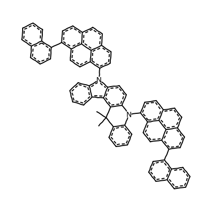 CC1(C)c2ccccc2N(c2ccc3ccc4ccc(-c5cccc6ccccc56)c5ccc2c3c45)c2ccc3c(c21)c1ccccc1n3-c1ccc2ccc3ccc(-c4cccc5ccccc45)c4ccc1c2c34